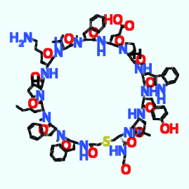 CCCC[C@H]1C(=O)N2CCC[C@@H]2C(=O)N[C@@H](CCCCN)C(=O)N[C@@H](C(C)C)C(=O)N(C)[C@@H](Cc2ccccc2)C(=O)N[C@@H](CCC(=O)O)C(=O)N2CCC[C@@H]2C(=O)N[C@@H](Cc2c[nH]c3ccccc23)C(=O)N[C@@H](Cc2ccc(O)cc2)C(=O)N[C@@H](CC(C)C)C(=O)N[C@H](C(=O)NCC=O)CSCC(=O)N[C@@H](Cc2ccccc2)C(=O)N(C)[C@@H](Cc2ccccc2)C(=O)N1C